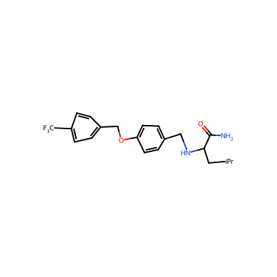 CC(C)CC(NCc1ccc(OCc2ccc(C(F)(F)F)cc2)cc1)C(N)=O